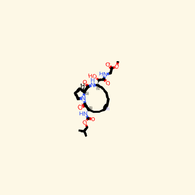 COC(=O)CNC(=O)C(O)[C@@H]1CCC/C=C\CC[C@H](NC(=O)OCC(C)C)C(=O)N2CCC[C@H]2C(=O)N1